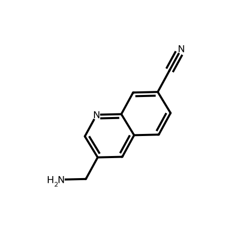 N#Cc1ccc2cc(CN)cnc2c1